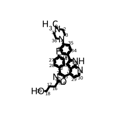 CN1CCN(c2ccc(-c3cc4c(-c5oc(CCCO)nc5-c5ccc(F)cc5)ccnc4[nH]3)cc2)CC1